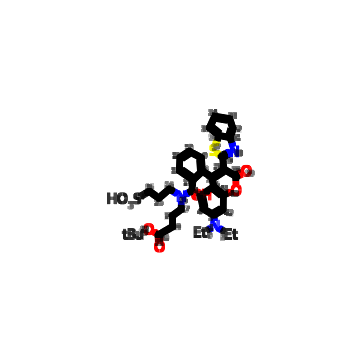 CCN(CC)c1ccc2c(-c3ccccc3C(O)N(CCCC(=O)OC(C)(C)C)CCCS(=O)(=O)O)c(-c3nc4ccccc4s3)c(=O)oc2c1